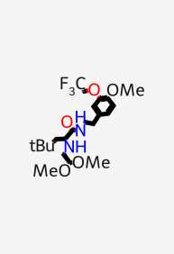 COc1ccc(CCNC(=O)C(CC(C)(C)C)NCC(OC)OC)cc1OCC(F)(F)F